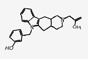 C=C(O)CN1CCC2Cc3c(c4ccccc4n3Cc3cccc(O)c3)CC2C1